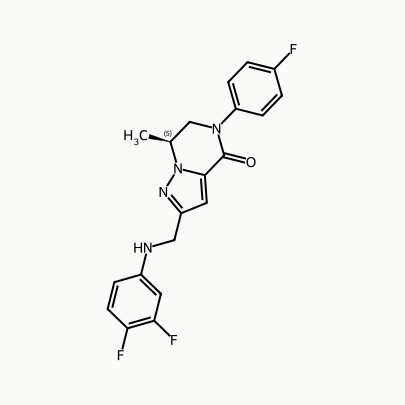 C[C@H]1CN(c2ccc(F)cc2)C(=O)c2cc(CNc3ccc(F)c(F)c3)nn21